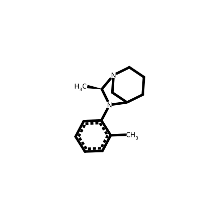 Cc1ccccc1N1C2CCCN(C2)[C@@H]1C